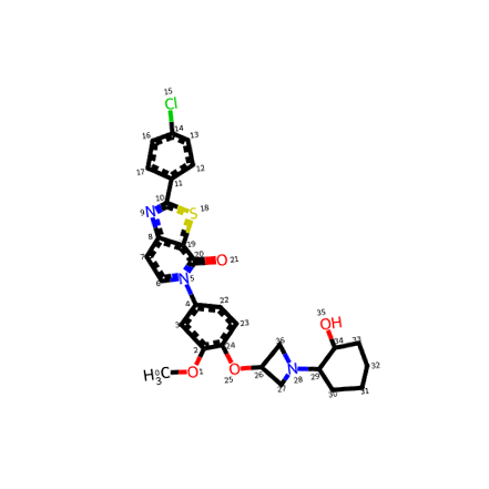 COc1cc(-n2ccc3nc(-c4ccc(Cl)cc4)sc3c2=O)ccc1OC1CN(C2CCCCC2O)C1